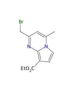 CCOC(=O)c1ccn2c(C)cc(CBr)nc12